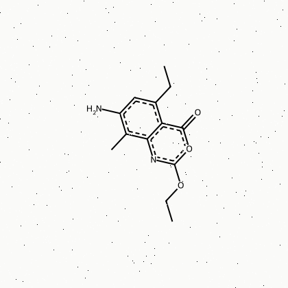 CCOc1nc2c(C)c(N)cc(CC)c2c(=O)o1